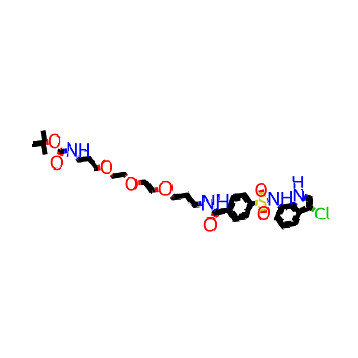 CC(C)(C)OC(=O)NCCCOCCOCCOCCCNC(=O)c1ccc(S(=O)(=O)Nc2cccc3c(Cl)c[nH]c23)cc1